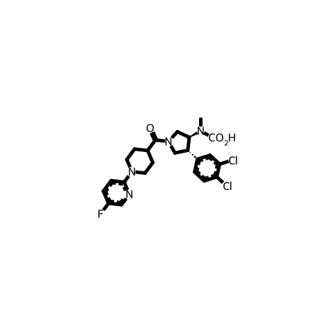 CN(C(=O)O)[C@@H]1CN(C(=O)C2CCN(c3ccc(F)cn3)CC2)C[C@H]1c1ccc(Cl)c(Cl)c1